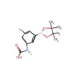 CC1(C)OB(c2cc(Cl)cc(N(F)C(=O)O)c2)OC1(C)C